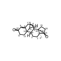 C[C@]12CC[C@H]3[C@@H](CCC4=CC(=O)CCC43C3CS3)[C@@H]1CCC2=O